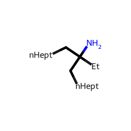 CCCCCCCCC(N)(CC)CCCCCCCC